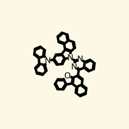 c1ccc2c(c1)cc(-c1nc(-n3c4ccc(-n5c6ccccc6c6ccccc65)cc4c4c5ccccc5ccc43)nc3ccccc13)c1oc3ccccc3c12